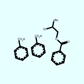 CCCCC(CC)COC(=O)c1ccccc1.O=C(O)c1ccccc1.O=C(O)c1ccccc1